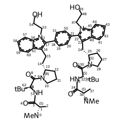 CN[C@@H](C)C(=O)N[C@H](C(=O)N1CCC[C@H]1CCc1c(-c2ccc(-c3c(C[C@@H]4CCCN4C(=O)[C@@H](NC(=O)[C@H](C)NC)C(C)(C)C)c4ccccc4n3CCO)cc2)n(CCO)c2ccccc12)C(C)(C)C